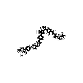 Cc1cc(-c2ncnc3[nH]c(-c4ccc(C5CN(CC6CCN(c7ccc(N8CCC(=O)NC8=O)cc7)CC6)C5)cc4)cc23)ccc1[C@@H](C)CCC(=O)c1nc(C(C)(C)C)no1